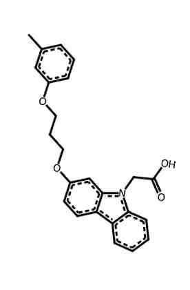 Cc1cccc(OCCCOc2ccc3c4ccccc4n(CC(=O)O)c3c2)c1